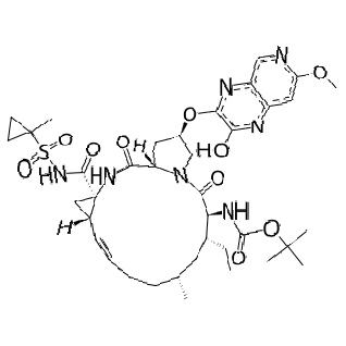 CC[C@@H]1C[C@H](C)CC/C=C\[C@@H]2C[C@@]2(C(=O)NS(=O)(=O)C2(C)CC2)NC(=O)[C@@H]2C[C@@H](Oc3nc4cnc(OC)cc4nc3O)CN2C(=O)[C@H]1NC(=O)OC(C)(C)C